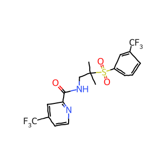 CC(C)(CNC(=O)c1cc(C(F)(F)F)ccn1)S(=O)(=O)c1cccc(C(F)(F)F)c1